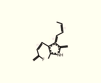 C=C(F)/C=C\c1c(C)[nH]c(=C)/c1=C\C=C/C